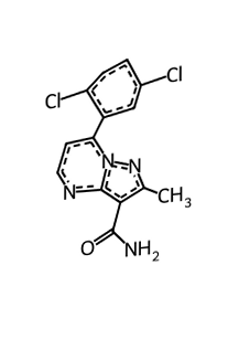 Cc1nn2c(-c3cc(Cl)ccc3Cl)ccnc2c1C(N)=O